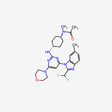 CC(=O)N(C)[C@H]1CC[C@H](Nc2nc(N3CCOCC3)cc(-n3c(C(F)F)nc4ccc(C)cc43)n2)CC1